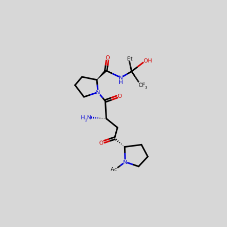 CCC(O)(NC(=O)[C@@H]1CCCN1C(=O)[C@@H](N)CC(=O)[C@@H]1CCCN1C(C)=O)C(F)(F)F